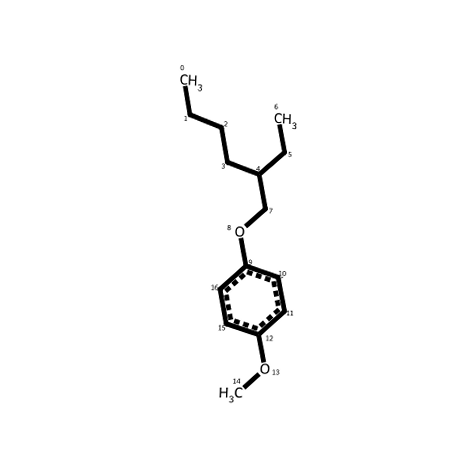 CCCCC(CC)COc1[c]cc(OC)cc1